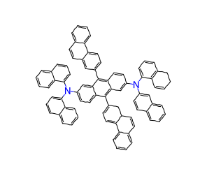 C1=Cc2c(cccc2N(c2ccc3ccccc3c2)c2ccc3c(-c4ccc5c(ccc6ccccc65)c4)c4cc(N(c5cccc6ccccc56)c5cccc6ccccc56)ccc4c(C4=CC=C5c6ccccc6C=CC5C4)c3c2)CC1